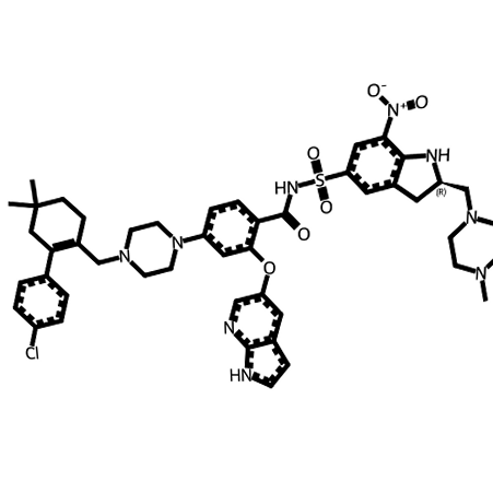 CN1CCN(C[C@H]2Cc3cc(S(=O)(=O)NC(=O)c4ccc(N5CCN(CC6=C(c7ccc(Cl)cc7)CC(C)(C)CC6)CC5)cc4Oc4cnc5[nH]ccc5c4)cc([N+](=O)[O-])c3N2)CC1